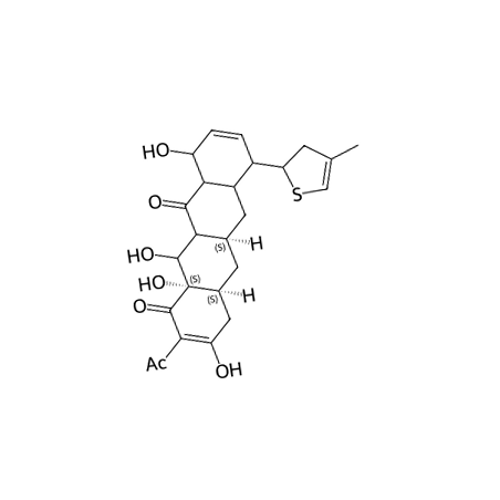 CC(=O)C1=C(O)C[C@@H]2C[C@@H]3CC4C(C5CC(C)=CS5)C=CC(O)C4C(=O)C3C(O)[C@]2(O)C1=O